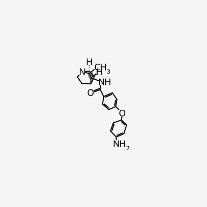 C[C@H]1[C@H](NC(=O)c2ccc(Oc3ccc(N)cc3)cc2)C2CCN1CC2